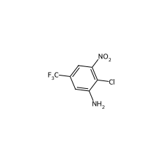 Nc1cc(C(F)(F)F)cc([N+](=O)[O-])c1Cl